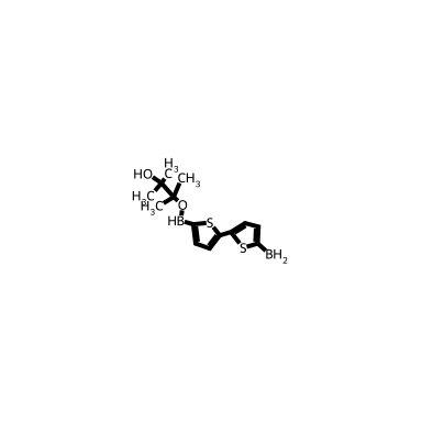 Bc1ccc(-c2ccc(BOC(C)(C)C(C)(C)O)s2)s1